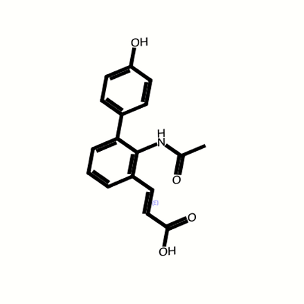 CC(=O)Nc1c(/C=C/C(=O)O)cccc1-c1ccc(O)cc1